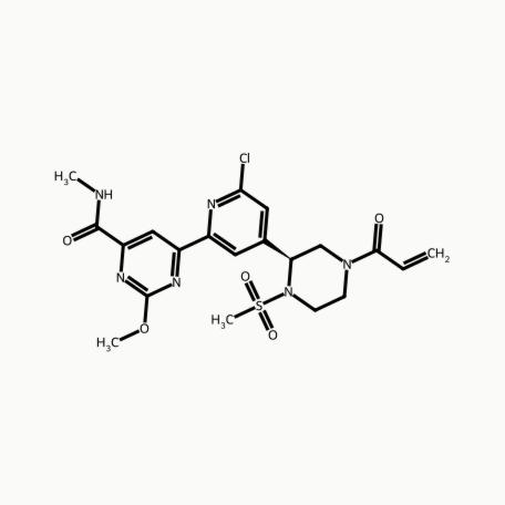 C=CC(=O)N1CCN(S(C)(=O)=O)[C@@H](c2cc(Cl)nc(-c3cc(C(=O)NC)nc(OC)n3)c2)C1